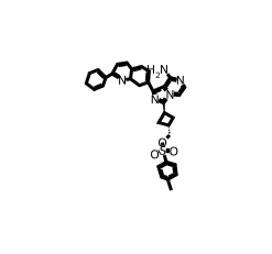 Cc1ccc(S(=O)(=O)OC[C@H]2C[C@H](c3nc(C4=CC=C5C=CC(C6=CCCC=C6)=NC5C4)c4c(N)nccn43)C2)cc1